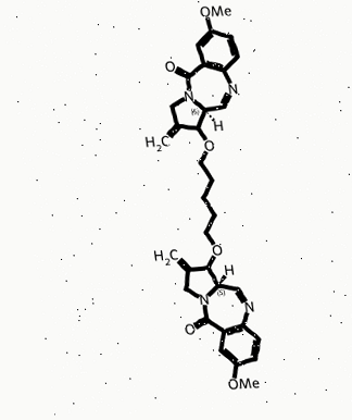 C=C1CN2C(=O)c3cc(OC)ccc3N=C[C@H]2C1OCCCCCOC1C(=C)CN2C(=O)c3cc(OC)ccc3N=C[C@@H]12